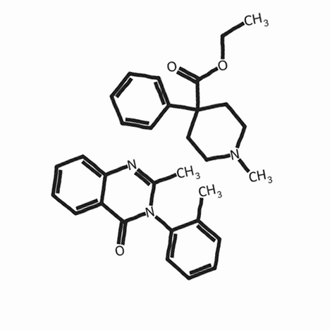 CCOC(=O)C1(c2ccccc2)CCN(C)CC1.Cc1ccccc1-n1c(C)nc2ccccc2c1=O